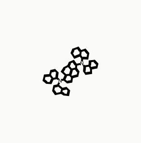 c1ccc2c(N(c3cccc4ccccc34)c3ccc4ccc5c(N(c6cccc7ccccc67)c6cccc7ccccc67)ccc6ccc3c4c65)cccc2c1